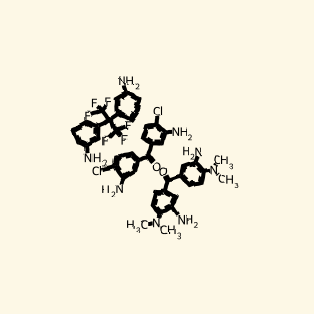 CN(C)c1ccc(C(=O)c2ccc(N(C)C)c(N)c2)cc1N.Nc1cc(C(=O)c2ccc(Cl)c(N)c2)ccc1Cl.Nc1cccc(C(c2cccc(N)c2)(C(F)(F)F)C(F)(F)F)c1